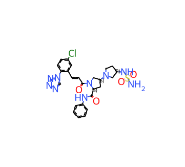 NS(=O)(=O)N[C@@H]1CCN([C@H]2C[C@@H](C(=O)Nc3ccccc3)N(C(=O)C=Cc3cc(Cl)ccc3-n3cnnn3)C2)C1